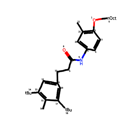 CCCCCCCCOc1ccc(NC(=O)CCc2cc(C(C)(C)C)c(C)c(C(C)(C)C)c2)cc1C